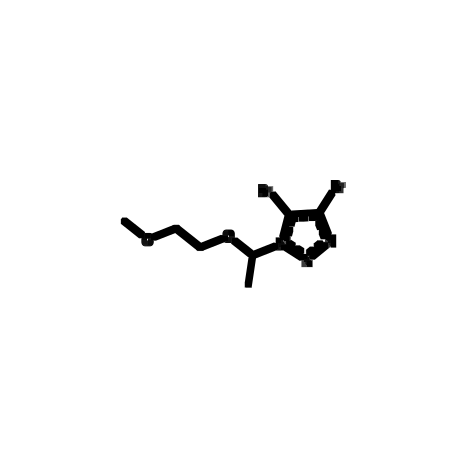 COCCOC(C)n1nnc(Br)c1Br